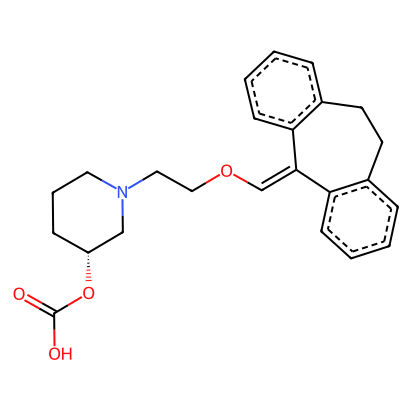 O=C(O)O[C@@H]1CCCN(CCOC=C2c3ccccc3CCc3ccccc32)C1